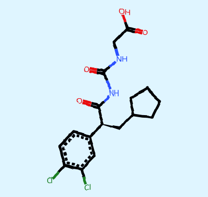 O=C(O)CNC(=O)NC(=O)[C@@H](CC1CCCC1)c1ccc(Cl)c(Cl)c1